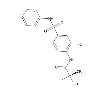 Cc1ccc(NS(=O)(=O)c2ccc(NC(=O)[C@@](C)(O)C(F)(F)F)c(Cl)c2)cc1